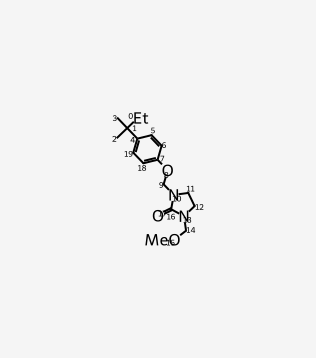 CCC(C)(C)c1ccc(OCN2CCN(COC)C2=O)cc1